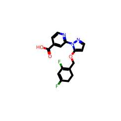 O=C(O)c1ccnc(-n2nccc2OCC2=C(F)C=C(F)CC2)c1